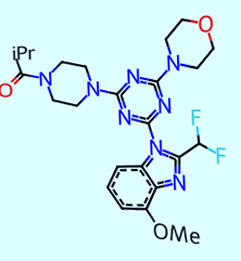 COc1cccc2c1nc(C(F)F)n2-c1nc(N2CCOCC2)nc(N2CCN(C(=O)C(C)C)CC2)n1